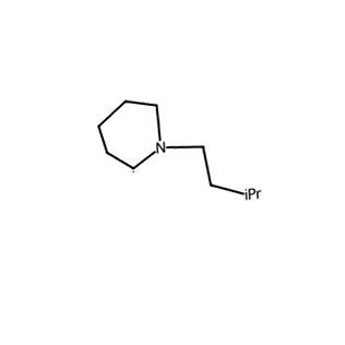 CC(C)CCN1[CH]CCCC1